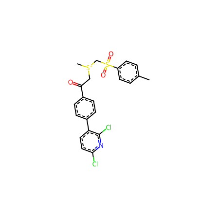 Cc1ccc(S(=O)(=O)C[S+](C)CC(=O)c2ccc(-c3ccc(Cl)nc3Cl)cc2)cc1